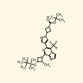 C[C@H]1[C@H](O[Si](C)(C)C(C)(C)C)CN1c1nc(-c2cnn(C3CN(C(=O)OC(C)(C)C)C3)c2)c(C(F)(F)F)n2ccnc12